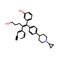 C#C/C=C(\C=C/C)C(/CCCO)=C(\c1ccc(C2CCN(C3CC3)CC2)cc1)c1cccc(O)c1